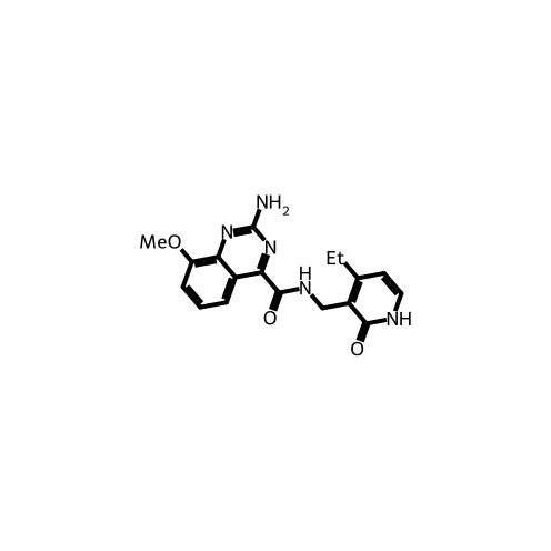 CCc1cc[nH]c(=O)c1CNC(=O)c1nc(N)nc2c(OC)cccc12